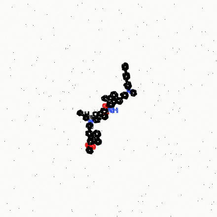 CC1(Cc2ccc3c(c2)Oc2cc4c(cc2N3)-c2ccc(-c3ccc(N(c5ccccc5)c5ccc(-c6ccc(-c7ccccc7)cc6)cc5)cc3)cc2C42c3ccccc3-c3ccccc32)c2ccccc2-c2ccc(N(c3ccc(-c4ccccc4)cc3)c3ccc(-c4ccc5c(c4)C4(c6ccccc6-c6ccccc64)c4cc6c(cc4-5)Oc4ccccc4O6)cc3)cc21